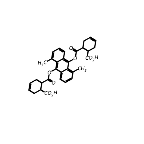 Cc1cccc2c(OC(=O)C3CC=CCC3C(=O)O)c3c(C)cccc3c(OC(=O)C3CC=CCC3C(=O)O)c12